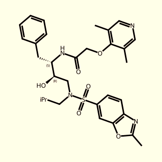 Cc1nc2ccc(S(=O)(=O)N(CC(C)C)C[C@@H](O)[C@H](Cc3ccccc3)NC(=O)COc3c(C)cncc3C)cc2o1